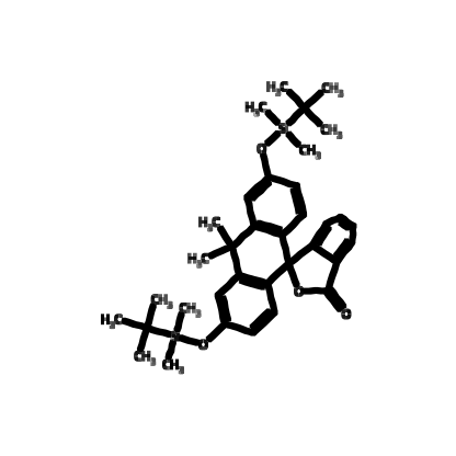 CC1(C)c2cc(O[Si](C)(C)C(C)(C)C)ccc2C2(OC(=O)c3ccccc32)c2ccc(O[Si](C)(C)C(C)(C)C)cc21